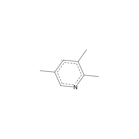 Cc1[c]c(C)c(C)nc1